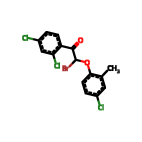 Cc1cc(Cl)ccc1OC(Br)C(=O)c1ccc(Cl)cc1Cl